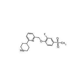 CS(=O)(=O)c1ccc(OCc2cccc(C3CCNCC3)n2)c(F)c1